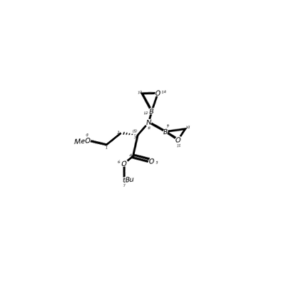 COCC[C@@H](C(=O)OC(C)(C)C)N(B1CO1)B1CO1